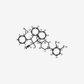 COc1ccccc1C(c1cccc2ccccc12)C(C)(C#N)C(=O)N1CCN(c2cccc(F)c2F)CC1